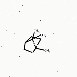 CC12[C]CC(CC1)C2(C)C